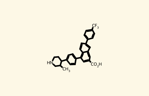 CC1CNCCC1c1ccc(-c2cc(C(=O)O)cc3cc(-c4ccc(C(F)(F)F)cc4)ccc23)cc1